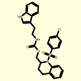 O=C(NCCc1c[nH]c2ccccc12)OCC1CCc2ccccc2N1S(=O)(=O)c1ccc(Cl)cc1